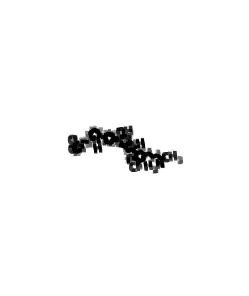 C[C@H](N)CCCc1cc(Cl)c(F)c(-c2cc3c([nH]2)=NC(O)N(c2ccc([C@@H]4CCC[C@@H](CCN5CCOC5=O)N4)cc2)C=3)c1